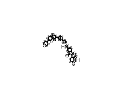 O=C1CCC(N2C(=O)c3ccc(NC[C@H]4C[C@@H](n5cc(-c6cnc7ccc(C8CCOCC8)cc7n6)cn5)C4)cc3C2=O)C(=O)N1